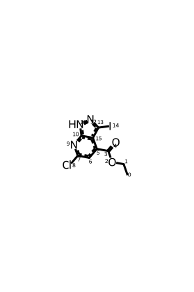 CCOC(=O)c1cc(Cl)nc2[nH]nc(I)c12